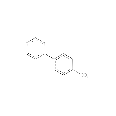 O=C(O)c1ccc(-c2cc[c]cc2)cc1